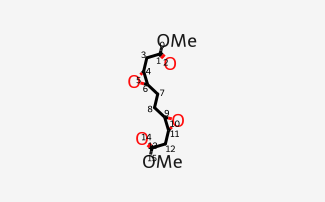 COC(=O)CC1OC1CCC1OC1CC(=O)OC